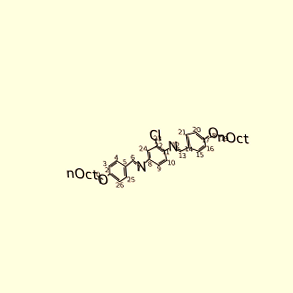 CCCCCCCCOc1ccc(C=Nc2ccc(N=Cc3ccc(OCCCCCCCC)cc3)c(Cl)c2)cc1